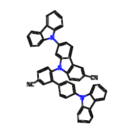 N#Cc1ccc(-n2c3ccc(C#N)cc3c3ccc(-n4c5ccccc5c5ccccc54)cc32)c(-c2ccc(-n3c4ccccc4c4ccccc43)cc2)c1